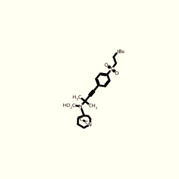 CC(C)(C)CCS(=O)(=O)c1ccc(C#CC(C)(C)N(C(=O)O)C2CCN3CCC2CC3)cc1